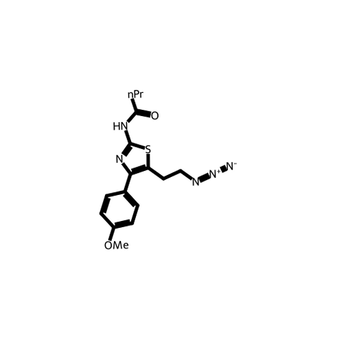 CCCC(=O)Nc1nc(-c2ccc(OC)cc2)c(CCN=[N+]=[N-])s1